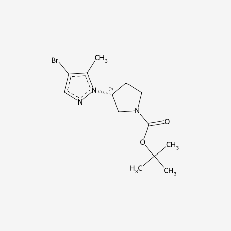 Cc1c(Br)cnn1[C@@H]1CCN(C(=O)OC(C)(C)C)C1